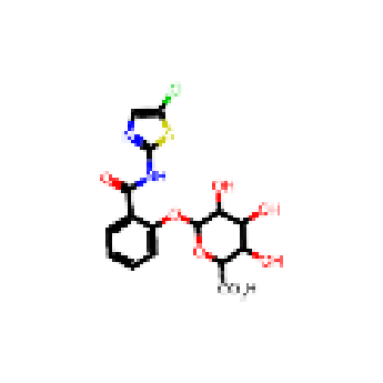 O=C(Nc1ncc(Cl)s1)c1ccccc1OC1OC(C(=O)O)C(O)C(O)C1O